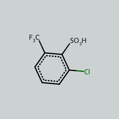 O=S(=O)(O)c1c(Cl)cccc1C(F)(F)F